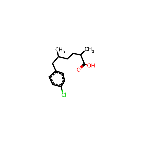 CC(CCC(C)C(=O)O)Cc1ccc(Cl)cc1